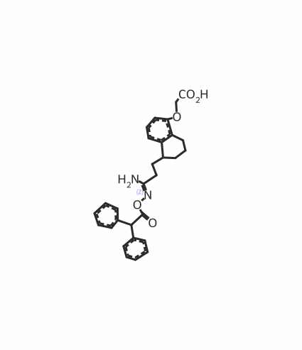 N/C(CCC1CCCc2c(OCC(=O)O)cccc21)=N\OC(=O)C(c1ccccc1)c1ccccc1